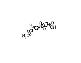 COC(=O)CC(C)c1ccc(N2C[C@@H]3CN(C(=O)O)CCN3C2=O)cc1